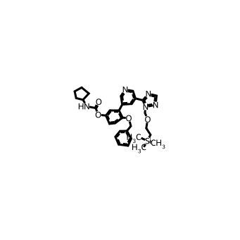 C[Si](C)(C)CCOCn1ncnc1-c1cncc(-c2cc(OC(=O)NC3CCCC3)ccc2OCc2ccccc2)c1